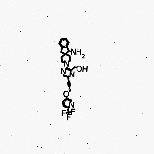 N[C@@H]1c2ccccc2CC12CCN(c1ncc(C#CCOc3ccc(C(F)(F)F)nc3)nc1CO)CC2